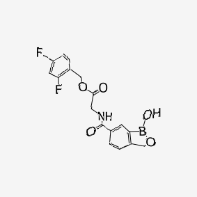 O=C(CNC(=O)c1ccc2c(c1)B(O)OC2)OCc1ccc(F)cc1F